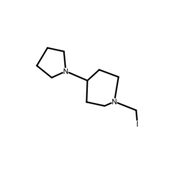 ICN1CCC(N2CCCC2)CC1